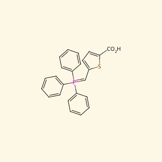 O=C(O)c1ccc(C=P(c2ccccc2)(c2ccccc2)c2ccccc2)s1